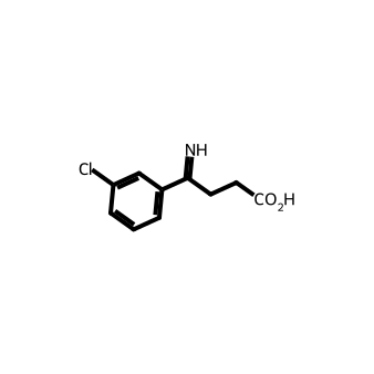 N=C(CCC(=O)O)c1cccc(Cl)c1